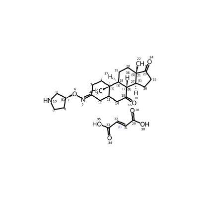 C[C@]12CCC(=NO[C@H]3CCNC3)CC1CC(=O)[C@@H]1[C@@H]2CC[C@]2(C)C(=O)CC[C@@H]12.O=C(O)/C=C/C(=O)O